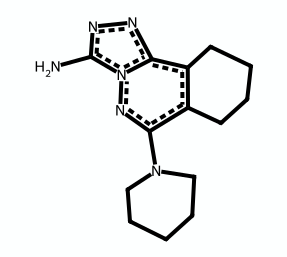 Nc1nnc2c3c(c(N4CCCCC4)nn12)CCCC3